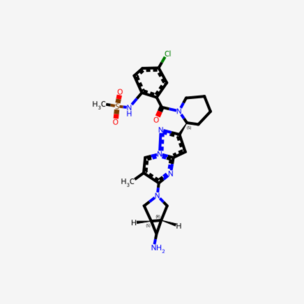 Cc1cn2nc([C@@H]3CCCCN3C(=O)c3cc(Cl)ccc3NS(C)(=O)=O)cc2nc1N1C[C@@H]2C(N)[C@@H]2C1